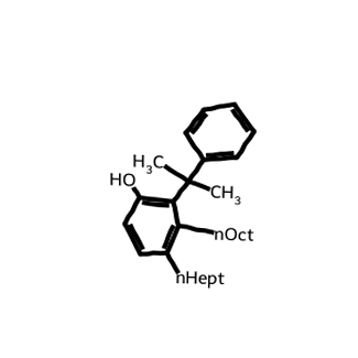 CCCCCCCCc1c(CCCCCCC)ccc(O)c1C(C)(C)c1ccccc1